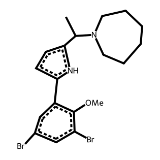 COc1c(Br)cc(Br)cc1-c1ccc(C(C)N2CCCCCC2)[nH]1